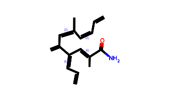 C=C/C=C\C(C)=C/C(=C)C(/C=C(\C)C(N)=O)=C/C=C